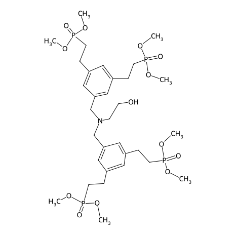 COP(=O)(CCc1cc(CCP(=O)(OC)OC)cc(CN(CCO)Cc2cc(CCP(=O)(OC)OC)cc(CCP(=O)(OC)OC)c2)c1)OC